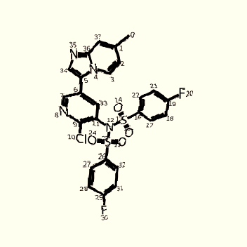 Cc1ccn2c(-c3cnc(Cl)c(N(S(=O)(=O)c4ccc(F)cc4)S(=O)(=O)c4ccc(F)cc4)c3)cnc2c1